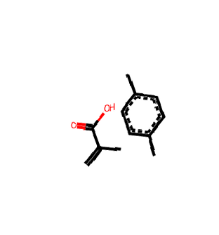 C=C(C)C(=O)O.Cc1ccc(C)cc1